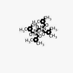 Cc1cc(C)cc(C(=O)c2nc(C(=O)c3cc(C)cc(C)c3)nc(C(=O)c3nc(C(=O)c4cc(C)cc(C)c4)nc(C(=O)c4cc(C)cc(C)c4)n3)n2)c1